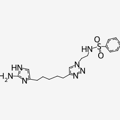 Nc1nc(CCCCCc2cn(CCNS(=O)(=O)c3ccccc3)nn2)c[nH]1